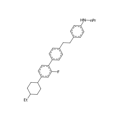 CCCNc1ccc(CCc2ccc(-c3ccc(C4CCC(CC)CC4)cc3F)cc2)cc1